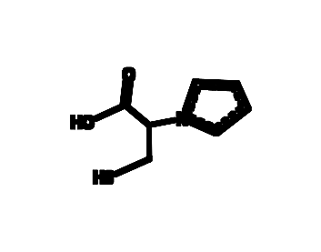 O=C(O)C(CS)n1cccc1